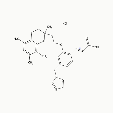 Cc1cc(C)c2c(c1C)OC(C)(CCOc1cc(Cn3ccnc3)ccc1/C=C/C(=O)O)CC2.Cl